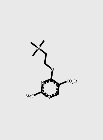 CCOC(=O)c1cnc(SC)nc1OCC[Si](C)(C)C